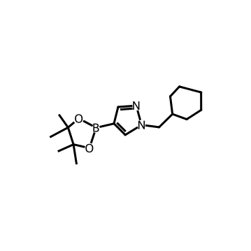 CC1(C)OB(c2cnn(CC3CCCCC3)c2)OC1(C)C